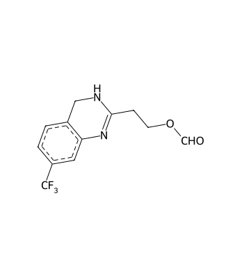 O=COCCC1=Nc2cc(C(F)(F)F)ccc2CN1